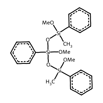 CO[Si](C)(O[Si](OC)(O[Si](C)(OC)c1ccccc1)c1ccccc1)c1ccccc1